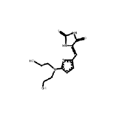 O=C1NC(=S)N/C1=C\c1ccc(N(CCO)CCO)s1